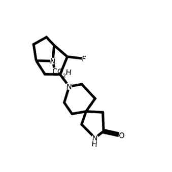 O=C1CC2(CCN(C3CC4CCC(C3F)N4C(=O)O)CC2)CN1